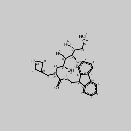 Cl.O=C(OCC1c2ccccc2-c2ccccc21)N(CC1CNC1)C[C@H](O)[C@@H](O)[C@H](O)[C@H](O)CO